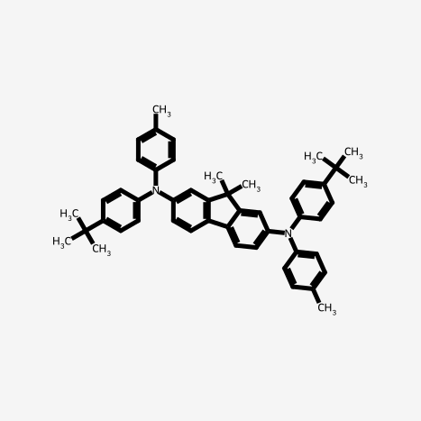 Cc1ccc(N(c2ccc(C(C)(C)C)cc2)c2ccc3c(c2)C(C)(C)c2cc(N(c4ccc(C)cc4)c4ccc(C(C)(C)C)cc4)ccc2-3)cc1